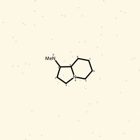 CNC1CCN2CCCCC12